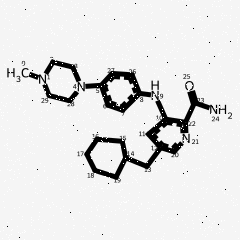 CN1CCN(c2ccc(Nc3cc(CC4CCCCC4)cnc3C(N)=O)cc2)CC1